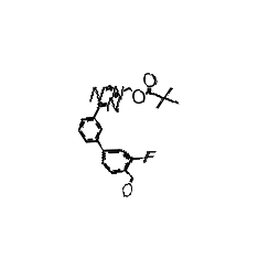 CC(C)(C)C(=O)OCn1cnc(-c2cccc(-c3ccc(C=O)c(F)c3)c2)n1